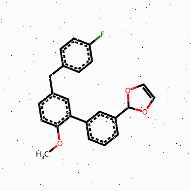 COc1ccc(Cc2ccc(F)cc2)cc1-c1cccc(C2OC=CO2)c1